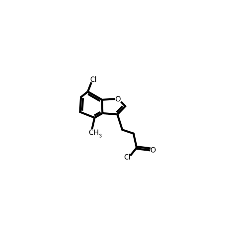 Cc1ccc(Cl)c2occ(CCC(=O)Cl)c12